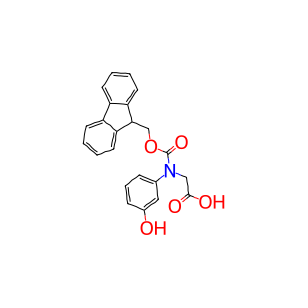 O=C(O)CN(C(=O)OCC1c2ccccc2-c2ccccc21)c1cccc(O)c1